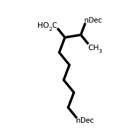 CCCCCCCCCCCCCCCC(C(=O)O)C(C)CCCCCCCCCC